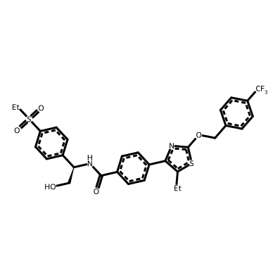 CCc1sc(OCc2ccc(C(F)(F)F)cc2)nc1-c1ccc(C(=O)N[C@@H](CO)c2ccc(S(=O)(=O)CC)cc2)cc1